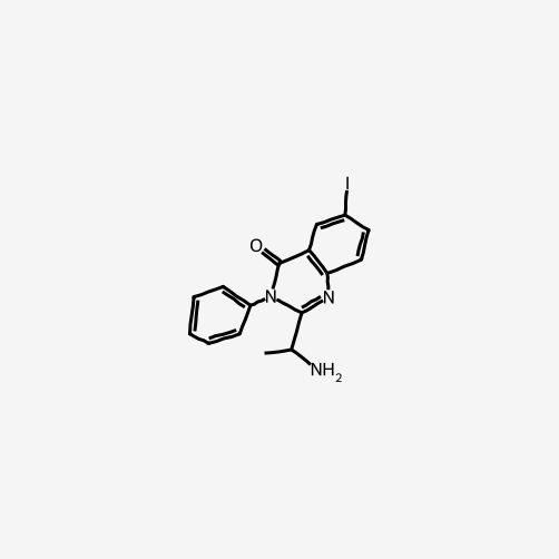 CC(N)c1nc2ccc(I)cc2c(=O)n1-c1ccccc1